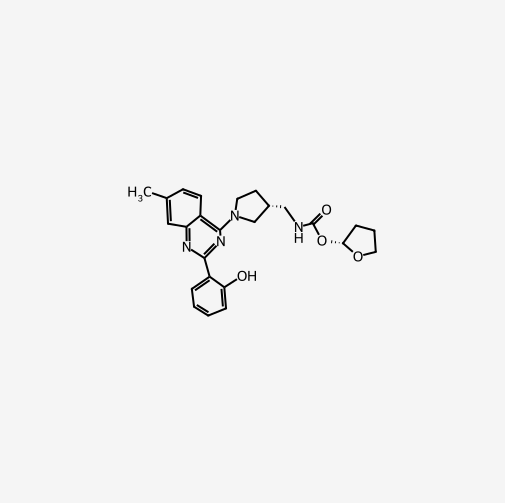 Cc1ccc2c(N3CC[C@H](CNC(=O)O[C@@H]4CCCO4)C3)nc(-c3ccccc3O)nc2c1